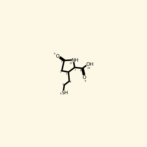 O=C1CC(CCS)C(C(=O)O)N1